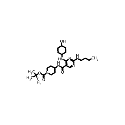 CCCCNc1ncc(C(=O)NC2CCN(C(=O)OC(C)(C)C)CC2)c(NC2CCC(O)CC2)n1